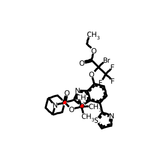 CCOC(=O)C(Br)(Oc1ccc(-c2nccs2)c2oc(N3CC4CC(C3)N4C(=O)OC(C)(C)C)nc12)C(F)(F)F